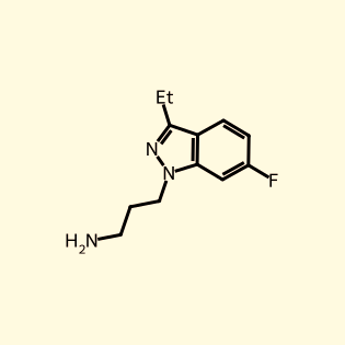 CCc1nn(CCCN)c2cc(F)ccc12